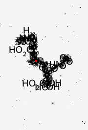 Cc1c(-c2ccc(N3CCc4cccc(C(=O)Nc5nc6ccccc6s5)c4C3)nc2C(=O)O)cnn1CC12CC3(C)CC(C)(C1)CC(OCCN(C)C(=O)OCc1ccc(O[C@@H]4O[C@H](C(=O)O)[C@@H](O)[C@H](O)[C@H]4O)cc1OCCOCCNC(=O)CCN1C(=O)C=CC1=O)(C3)C2